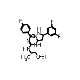 CCOC[C@H](C)N/C(=N/C(=O)c1ccc(F)cc1)NC1CC(c2cc(F)cc(F)c2)NN1